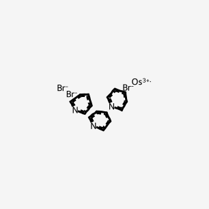 [Br-].[Br-].[Br-].[Os+3].c1ccncc1.c1ccncc1.c1ccncc1